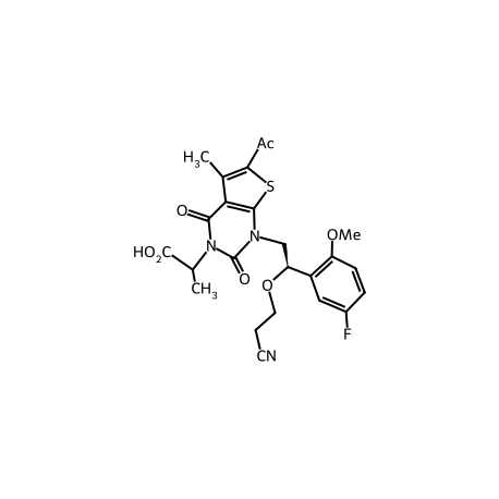 COc1ccc(F)cc1[C@H](Cn1c(=O)n(C(C)C(=O)O)c(=O)c2c(C)c(C(C)=O)sc21)OCCC#N